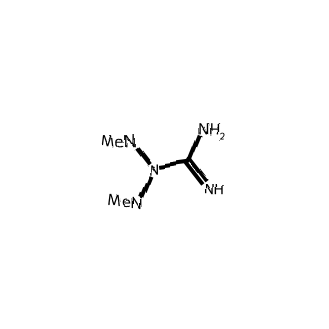 CNN(NC)C(=N)N